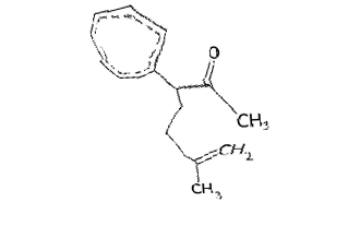 C=C(C)CC(C(C)=O)c1ccccc1